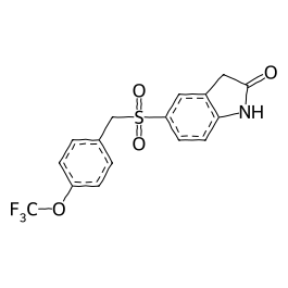 O=C1Cc2cc(S(=O)(=O)Cc3ccc(OC(F)(F)F)cc3)ccc2N1